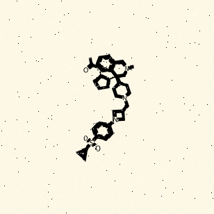 CC(=O)N[C@H]1CCC[C@@H]1C1(C2CCN(CC3CN(c4ccc(S(=O)(=O)C5CC5)cc4)C3)CC2)CN(C)Cc2ccccc21